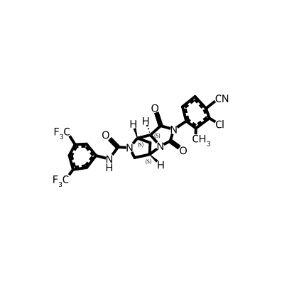 Cc1c(N2C(=O)[C@@H]3[C@@H]4C[C@@H](CN4C(=O)Nc4cc(C(F)(F)F)cc(C(F)(F)F)c4)N3C2=O)ccc(C#N)c1Cl